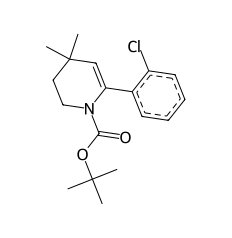 CC1(C)C=C(c2ccccc2Cl)N(C(=O)OC(C)(C)C)CC1